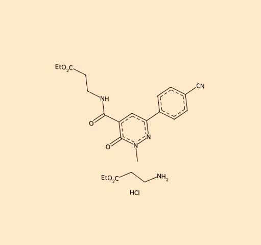 CCOC(=O)CCN.CCOC(=O)CCNC(=O)c1cc(-c2ccc(C#N)cc2)nn(C)c1=O.Cl